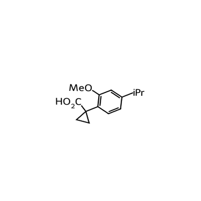 COc1cc(C(C)C)ccc1C1(C(=O)O)CC1